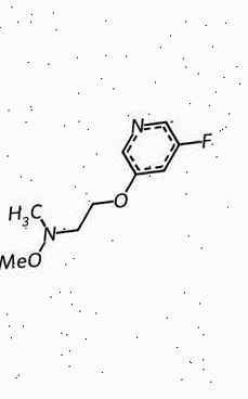 CON(C)CCOc1cn[c]c(F)c1